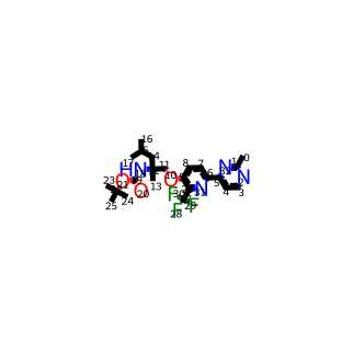 Cc1nccc(-c2ccc(OCC(C)(CC(C)C)NC(=O)OC(C)(C)C)c(C(F)(F)F)n2)n1